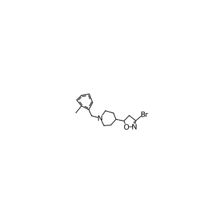 Cc1ccccc1CN1CCC(C2CC(Br)=NO2)CC1